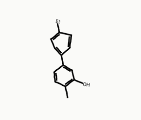 CCc1ccc(-c2ccc(C)c(O)c2)cc1